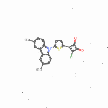 CC(C)(C)c1ccc2c(c1)c1cc(C(C)(C)C)ccc1n2-c1ccc(-c2c(Cl)c(=O)c2=O)s1